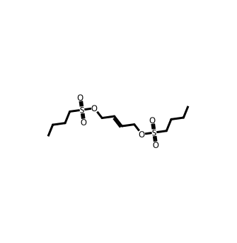 CCCCS(=O)(=O)OCC=CCOS(=O)(=O)CCCC